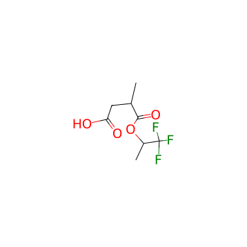 CC(CC(=O)O)C(=O)OC(C)C(F)(F)F